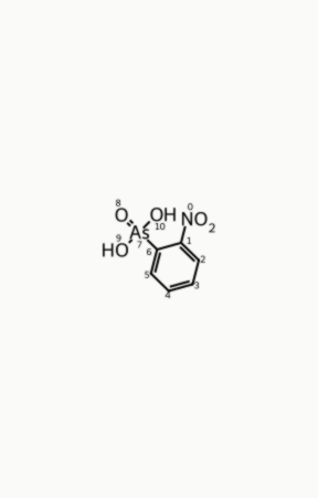 O=[N+]([O-])c1ccccc1[As](=O)(O)O